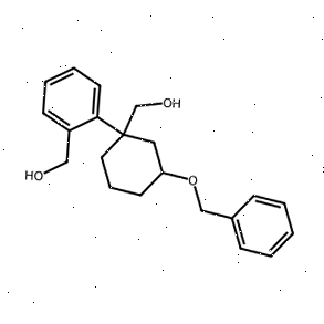 OCc1ccccc1C1(CO)CCCC(OCc2ccccc2)C1